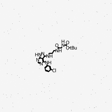 CC(C)(C)OC(=O)NCC(=O)NCCCNc1n[nH]c2ncnc(Nc3cccc(Cl)c3)c12